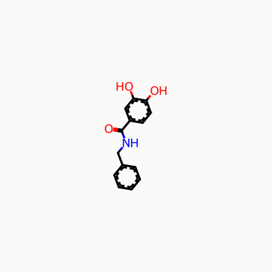 O=C(NCc1ccccc1)c1ccc(O)c(O)c1